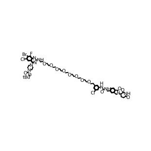 CC(C)(C)OC(=O)N1CCN(c2nc(NCCOCCOCCOCCOCCOCCOCCOCCOCCc3cc(Cl)cc(NC(=O)NCc4ccc5c(c4)CN(C4CCC(=O)NC4=O)C5=O)c3)nc3c(F)c(Br)c(Cl)cc23)CC1